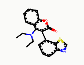 CCN(CC)c1c(-c2cccc3ncsc23)c(=O)oc2ccccc12